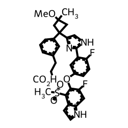 COC1(C)CC(c2cccc(CCC(=O)O)c2)(c2c[nH]c(-c3cc(Oc4c(F)cc5[nH]ccc5c4S(C)(=O)=O)ccc3F)n2)C1